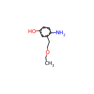 CCOCCc1cc(O)ccc1N